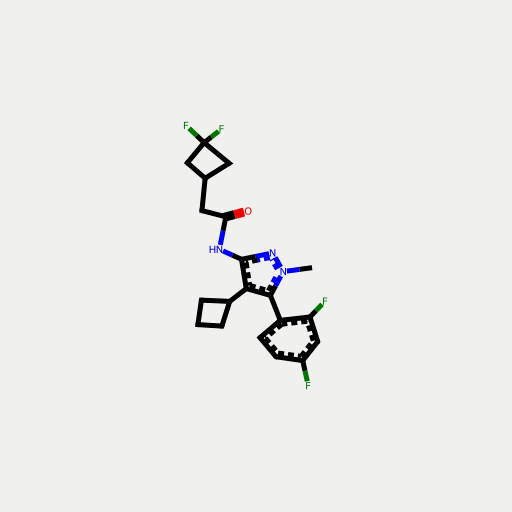 Cn1nc(NC(=O)CC2CC(F)(F)C2)c(C2CCC2)c1-c1ccc(F)cc1F